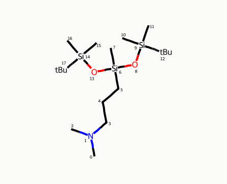 CN(C)CCC[Si](C)(O[Si](C)(C)C(C)(C)C)O[Si](C)(C)C(C)(C)C